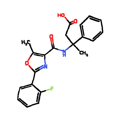 Cc1oc(-c2ccccc2F)nc1C(=O)NC(C)(CC(=O)O)c1ccccc1